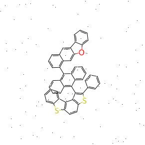 c1ccc(-c2sc3ccc4sc5ccccc5c4c3c2-c2c3ccccc3c(-c3cccc4cc5c(cc34)oc3ccccc35)c3ccccc23)cc1